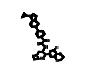 O=C(NC(CN1CCC1)C(O)c1cc(Cl)c2c(c1)OCCO2)C(=O)c1ccc(-c2ccc3c(cnn3C3CC3)c2)cc1